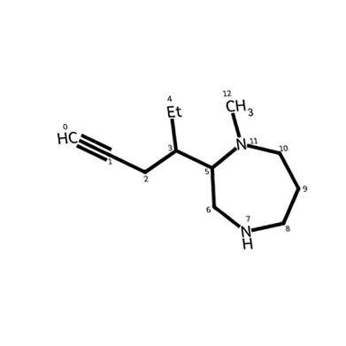 C#CCC(CC)C1CNCCCN1C